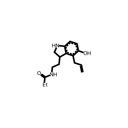 C=CCc1c(O)ccc2c1C(CCNC(=O)CC)CN2